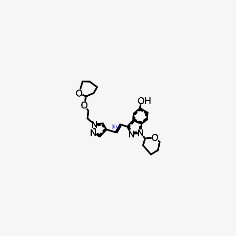 Oc1ccc2c(c1)c(/C=C/c1cnn(CCOC3CCCCO3)c1)nn2C1CCCCO1